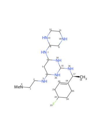 CNCCNC1CC(NC2CNCCN2)NC(N[C@@H](C)C2=CCC(F)CC2)N1